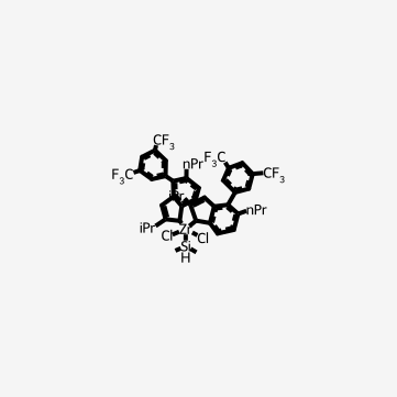 CCCc1ccc2c(c1-c1cc(C(F)(F)F)cc(C(F)(F)F)c1)C=C(C(C)C)[CH]2[Zr]([Cl])([Cl])([CH]1C(C(C)C)=Cc2c1ccc(CCC)c2-c1cc(C(F)(F)F)cc(C(F)(F)F)c1)[SiH](C)C